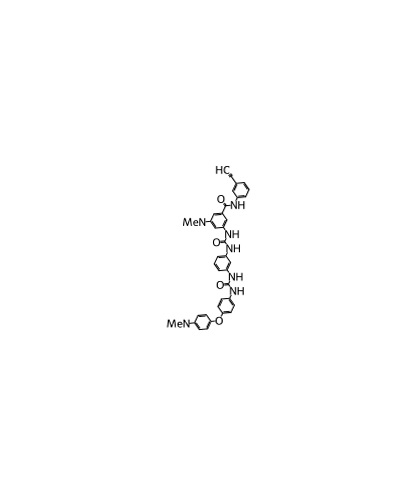 C#Cc1cccc(NC(=O)c2cc(NC)cc(NC(=O)Nc3cccc(NC(=O)Nc4ccc(Oc5ccc(NC)cc5)cc4)c3)c2)c1